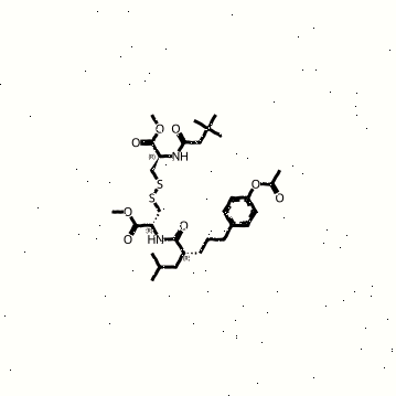 COC(=O)[C@H](CSSC[C@H](NC(=O)[C@H](CCCc1ccc(OC(C)=O)cc1)CC(C)C)C(=O)OC)NC(=O)CC(C)(C)C